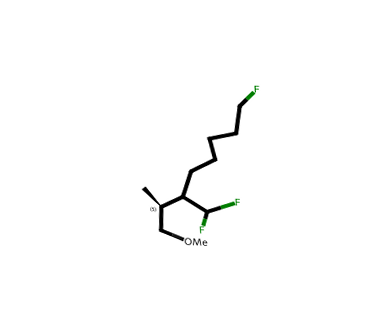 COC[C@@H](C)C(CCCCCF)C(F)F